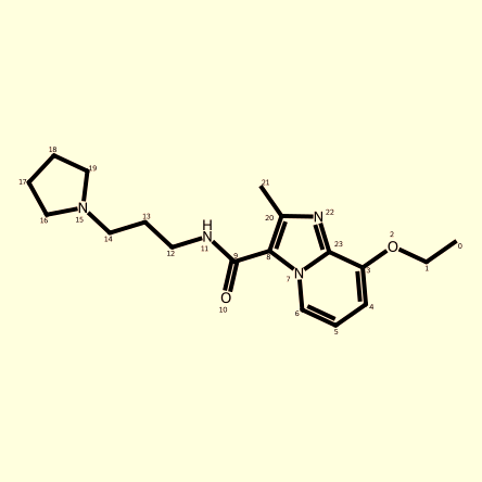 CCOc1cccn2c(C(=O)NCCCN3CCCC3)c(C)nc12